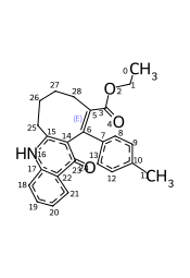 CCOC(=O)/C1=C(\c2ccc(C)cc2)c2c([nH]c3ccccc3c2=O)CCCC1